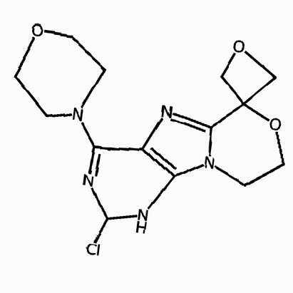 ClC1N=C(N2CCOCC2)c2nc3n(c2N1)CCOC31COC1